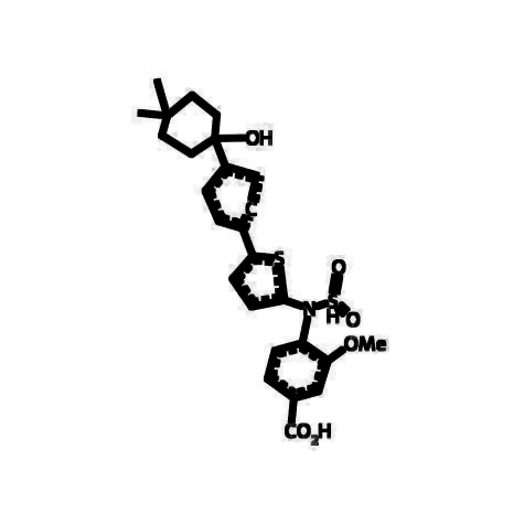 COc1cc(C(=O)O)ccc1N(c1ccc(-c2ccc(C3(O)CCC(C)(C)CC3)cc2)s1)[SH](=O)=O